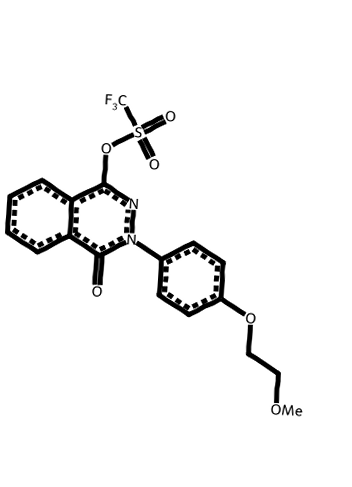 COCCOc1ccc(-n2nc(OS(=O)(=O)C(F)(F)F)c3ccccc3c2=O)cc1